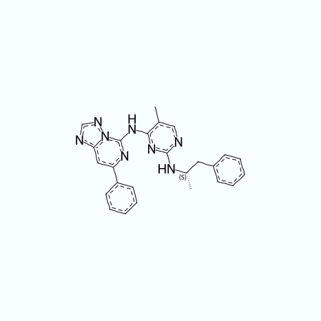 Cc1cnc(N[C@@H](C)Cc2ccccc2)nc1Nc1nc(-c2ccccc2)cc2ncnn12